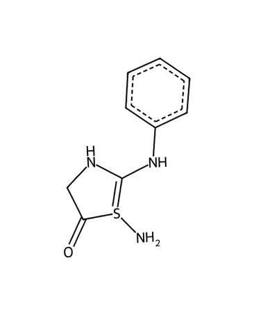 NS1=C(Nc2ccccc2)NCC1=O